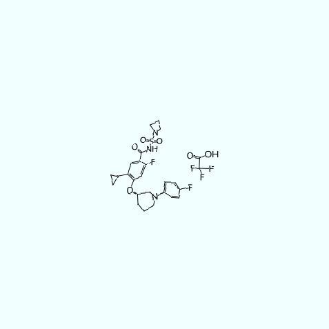 O=C(NS(=O)(=O)N1CCC1)c1cc(C2CC2)c(O[C@@H]2CCCN(c3ccc(F)cc3)C2)cc1F.O=C(O)C(F)(F)F